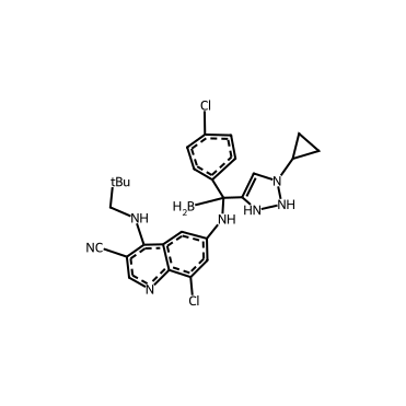 BC(Nc1cc(Cl)c2ncc(C#N)c(NCC(C)(C)C)c2c1)(C1=CN(C2CC2)NN1)c1ccc(Cl)cc1